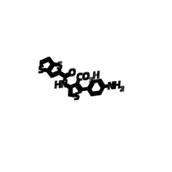 Nc1ccc(-c2scc(NC(=O)c3cc4sccc4s3)c2C(=O)O)cc1